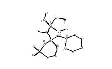 CO[Si](OC)(OC)C(C)[Si]1(C[SiH]2CCCCO2)CCCC(C)(C)O1